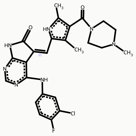 Cc1[nH]c(/C=C2\C(=O)Nc3ncnc(Nc4ccc(F)c(Cl)c4)c32)c(C)c1C(=O)N1CCN(C)CC1